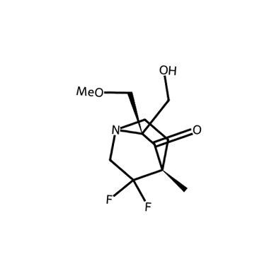 COC[C@@]1(CO)C(=O)[C@]2(C)CCN1CC2(F)F